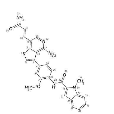 COc1cc(-c2csc3c(C=CC(N)=O)cnc(N)c23)ccc1NC(=O)c1cc2ccccc2n1C